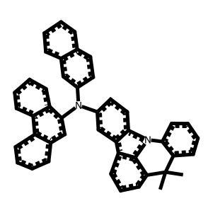 CC1(C)c2ccccc2-n2c3ccc(N(c4ccc5ccccc5c4)c4cc5ccccc5c5ccccc45)cc3c3cccc1c32